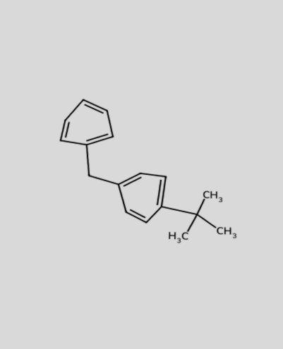 CC(C)(C)c1ccc(Cc2ccccc2)cc1